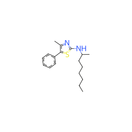 CCCCCCC(C)Nc1nc(C)c(-c2ccccc2)s1